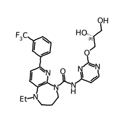 CCN1CCCN(C(=O)Nc2ccnc(OC[C@H](O)CO)n2)c2nc(-c3cccc(C(F)(F)F)c3)ccc21